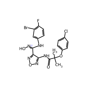 CC(C)(Oc1ccc(Cl)cc1)C(=O)Nc1nonc1/C(=N\O)Nc1ccc(F)c(Br)c1